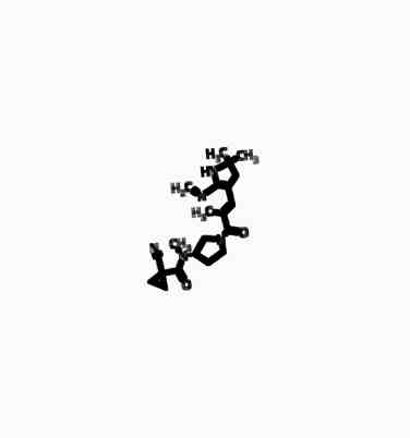 C=NC1=C(/C=C(\C)C(=O)N2CC[C@H](N(C)C(=O)C3(C#N)CC3)C2)CC(C)(C)N1